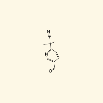 CC(C)(C#N)c1ccc(C=O)cn1